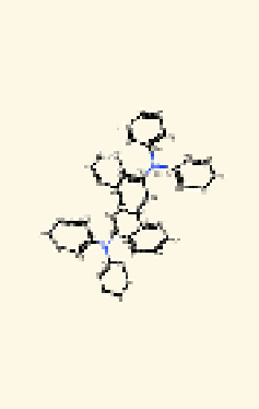 C1=CC(N(C2=CCCCC2)c2cc3c4c(c(N(C5=CCCC=C5)c5ccccc5)cc3c3ccccc23)CCC=C4)=CCC1